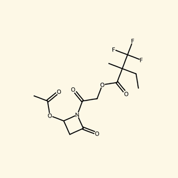 CCC(C)(C(=O)OCC(=O)N1C(=O)CC1OC(C)=O)C(F)(F)F